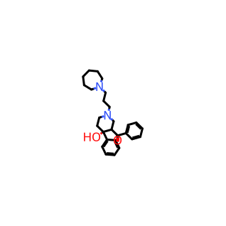 O=C(c1ccccc1)C1CN(CCCN2CCCCCC2)CCC1(O)c1ccccc1